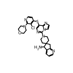 NC1c2cccnc2CC12CCN(c1ncc(Sc3ccnc(N4CCOCC4)c3Cl)c3nccn13)CC2